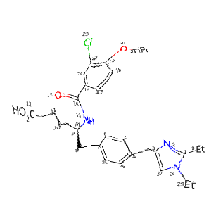 CCc1nc(-c2ccc(C[C@@H](CCC(=O)O)NC(=O)c3ccc(OC(C)C)c(Cl)c3)cc2)cn1CC